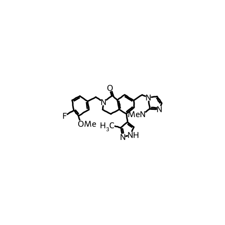 CNc1nccn1Cc1cc2c(c(-c3c[nH]nc3C)c1)CCN(Cc1ccc(F)c(OC)c1)C2=O